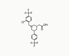 O=C(O)CC1CC(c2ccc(C(F)(F)F)cc2)CN(Cc2ccc(C(F)(F)F)cc2Cl)C1